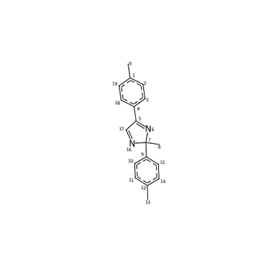 Cc1ccc(C2=NC(C)(c3ccc(C)cc3)N=C2)cc1